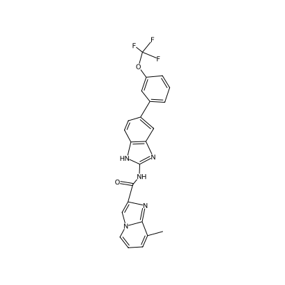 Cc1cccn2cc(C(=O)Nc3nc4cc(-c5cccc(OC(F)(F)F)c5)ccc4[nH]3)nc12